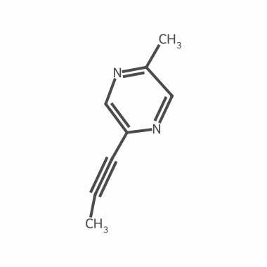 CC#Cc1cnc(C)cn1